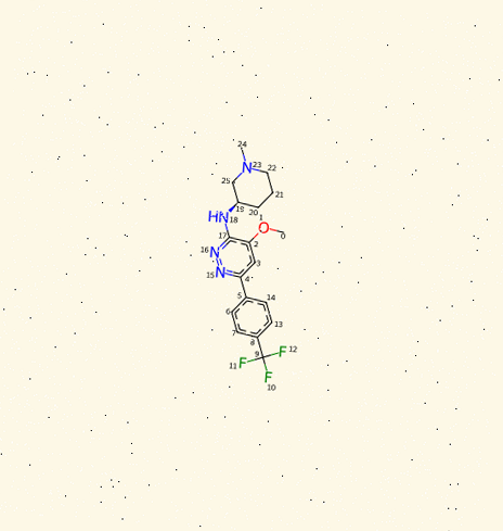 COc1cc(-c2ccc(C(F)(F)F)cc2)nnc1N[C@@H]1CCCN(C)C1